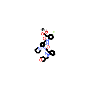 CC(C)(C)OC(=O)Cc1cc(F)ccc1NC(=O)c1ccc(N2CCCCC2)c(NC(=O)c2nn(CC3CCOCC3)c3ccccc23)c1